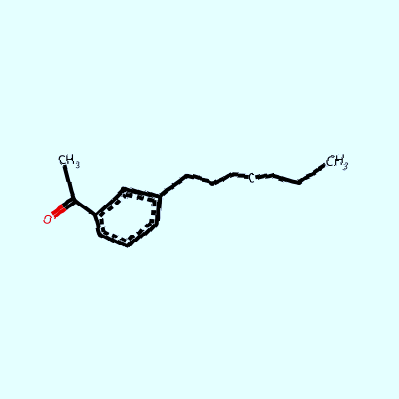 CCCCCCCc1cccc(C(C)=O)c1